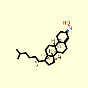 CC(C)CCC[C@@H](C)C1CC[C@H]2[C@@H]3CCC4=C/C(=N/O)CC[C@]4(C)[C@H]3CC[C@]12C